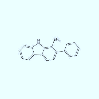 [SiH3]c1c(-c2ccccc2)ccc2c1[nH]c1ccccc12